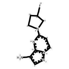 Nc1cnn2ccc(N3CCC(F)C3)nc12